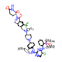 COc1cc(N2CCC(N(C)Cc3cc4c(cc3F)C(=O)N(C3CCC(=O)NC3=O)C4)CC2)ccc1Nc1ncc(Cl)c(Nc2ccccc2P(=O)(OC)OC)n1